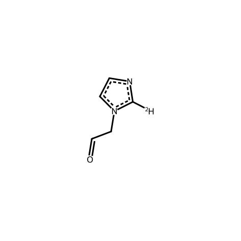 [2H]c1nccn1CC=O